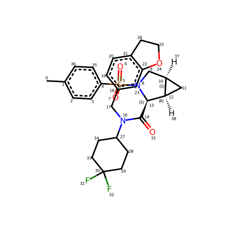 Cc1ccc(S(=O)(=O)N2C[C@H]3C[C@H]3[C@H]2C(=O)N(Cc2ccc3c(c2)OCC3)C2CCC(F)(F)CC2)cc1